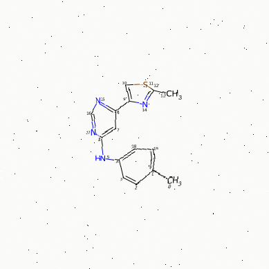 Cc1ccc(Nc2cc(-c3csc(C)n3)ncn2)cc1